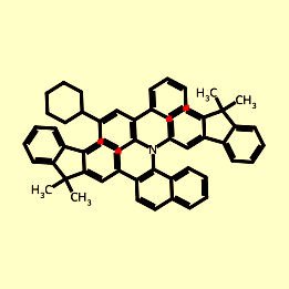 CC1(C)c2ccccc2-c2cc(N(c3ccc(C4CCCCC4)cc3-c3ccccc3)c3c(-c4ccc5c(c4)C(C)(C)c4ccccc4-5)ccc4ccccc34)ccc21